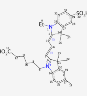 CCN1/C(=C/C=C/C2=[N+](CCCCCC(=O)O)c3ccc(C)cc3C2(C)C)C(C)(C)c2cc(S(=O)(=O)O)ccc21